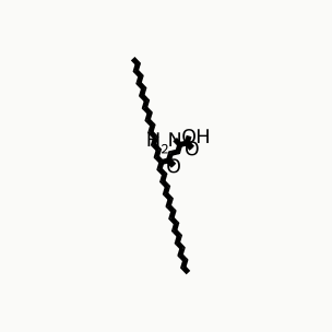 CCCCCCCCCCCCCCCCCCC(CCCCCCCCCCCCCCCCC)C(=O)CCC(N)C(=O)O